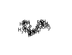 Cc1c(S(C)(=O)=O)c(-c2cc(F)cc(N3CCN(c4ccc(NS(=O)(=O)c5ccc(N[C@H](CCN6CC(C)(C(=O)OCCPP(=O)(O)O)C6)CSc6ccccc6)c(S(=O)(=O)C(F)(F)F)c5)cc4)CC3)c2)c(-c2ccc(Cl)cc2)n1C(C)C